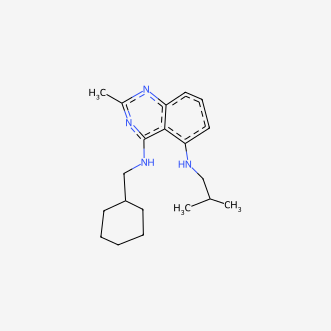 Cc1nc(NCC2CCCCC2)c2c(NCC(C)C)cccc2n1